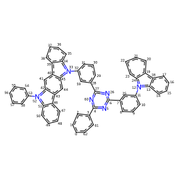 c1ccc(-c2nc(-c3cccc(-n4c5ccccc5c5ccccc54)c3)nc(-c3cccc(-n4c5ccccc5c5cc6c(cc54)c4ccccc4n6-c4ccccc4)c3)n2)cc1